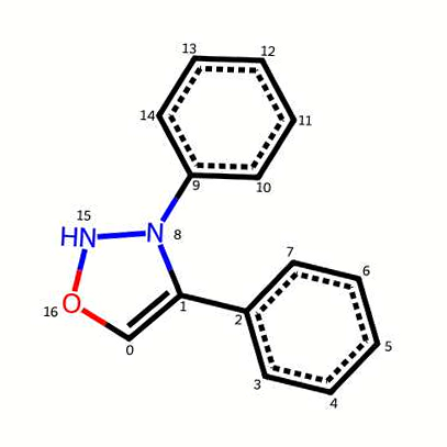 C1=C(c2ccccc2)N(c2ccccc2)NO1